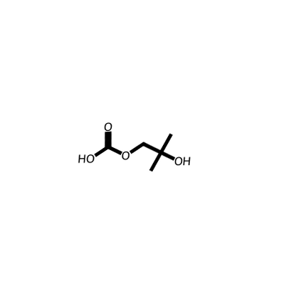 CC(C)(O)COC(=O)O